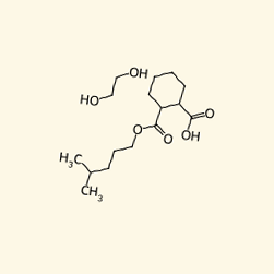 CC(C)CCCOC(=O)C1CCCCC1C(=O)O.OCCO